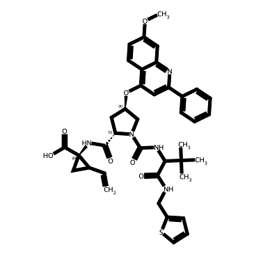 C=CC1C[C@]1(NC(=O)[C@@H]1C[C@@H](Oc2cc(-c3ccccc3)nc3cc(OC)ccc23)CN1C(=O)NC(C(=O)NCc1cccs1)C(C)(C)C)C(=O)O